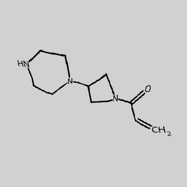 C=CC(=O)N1CC(N2CCNCC2)C1